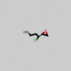 CCCCCCC(Cl)[C@@H]1CO1